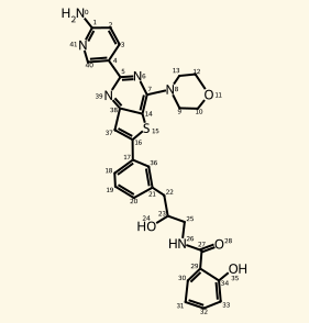 Nc1ccc(-c2nc(N3CCOCC3)c3sc(-c4cccc(CC(O)CNC(=O)c5ccccc5O)c4)cc3n2)cn1